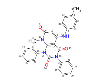 Cc1ccc(Nc2cc(=O)n(C)c3c2c(=O)n(-c2ccccc2)c(=O)n3-c2ccccc2)cc1